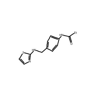 CCC(=O)Nc1ccc(CNc2nccs2)cc1